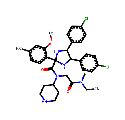 CCOc1cc(C(F)(F)F)ccc1C1(C(=O)N(CC(=O)N(C)CC#N)C2CCNCC2)NC(c2ccc(Cl)cc2)C(c2ccc(Cl)cc2)N1